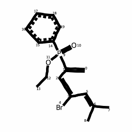 C=C(/C=C(/Br)C=C(C)C)P(=O)(OCC)c1ccccc1